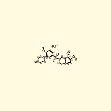 COc1ccc(S(=O)(=O)N2CCc3ccc(OC)c(OC)c3C2)cc1N1CCN(C)CC1.Cl